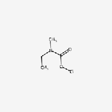 CCN(C)C(=O)OCl